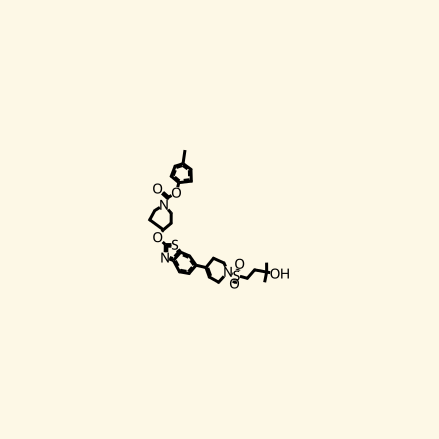 Cc1ccc(OC(=O)N2CCC(Oc3nc4ccc(C5=CCN(S(=O)(=O)CCC(C)(C)O)CC5)cc4s3)CC2)cc1